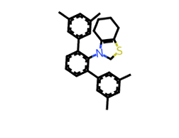 Cc1cc(C)cc(-c2cccc(-c3cc(C)cc(C)c3)c2N2CSC3=C2CCCC3)c1